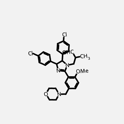 COc1ccc(CN2CCOCC2)cc1C1=NC(c2ccc(Cl)cc2)C(c2ccc(Cl)cc2)N1CC(C)C=O